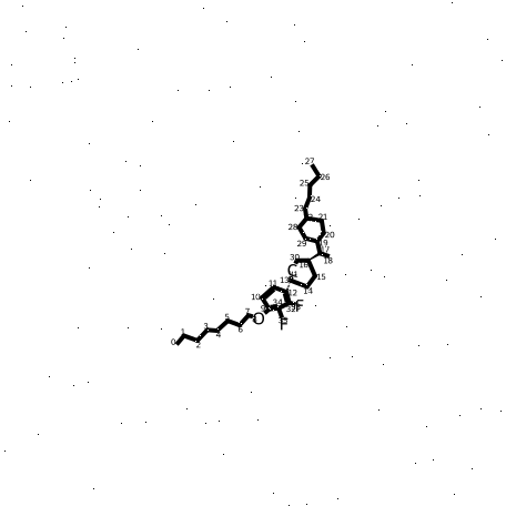 CCCCCCCCOc1ccc([C@H]2CC[C@H](C(C)C3CCC(CCCCC)CC3)CC2)c(F)c1F